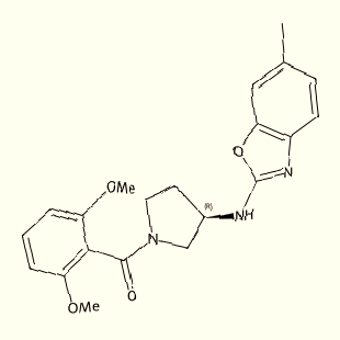 COc1cccc(OC)c1C(=O)N1CC[C@@H](Nc2nc3ccc(C)cc3o2)C1